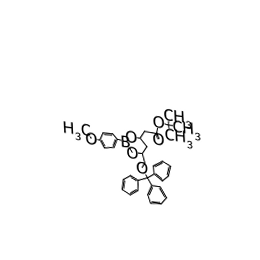 COc1ccc(B2OC(COC(c3ccccc3)(c3ccccc3)c3ccccc3)CC(CC(=O)OC(C)(C)C)O2)cc1